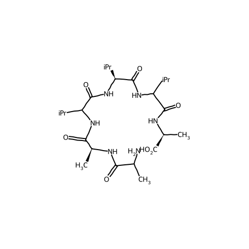 CC(N)C(=O)N[C@@H](C)C(=O)NC(C(=O)N[C@H](C(=O)NC(C(=O)N[C@@H](C)C(=O)O)C(C)C)C(C)C)C(C)C